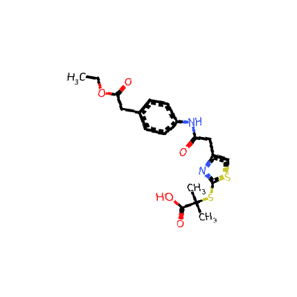 CCOC(=O)Cc1ccc(NC(=O)Cc2csc(SC(C)(C)C(=O)O)n2)cc1